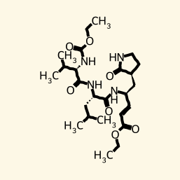 CCOC(=O)/C=C/[C@H](C[C@@H]1CCNC1=O)NC(=O)[C@H](CC(C)C)NC(=O)[C@@H](NC(=O)OCC)C(C)C